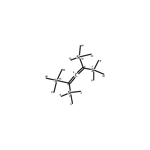 C[Si](C)(C)C(=C=C([Si](C)(C)C)[Si](C)(C)C)[Si](C)(C)C